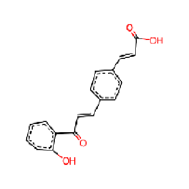 O=C(O)C=Cc1ccc(/C=C/C(=O)c2ccccc2O)cc1